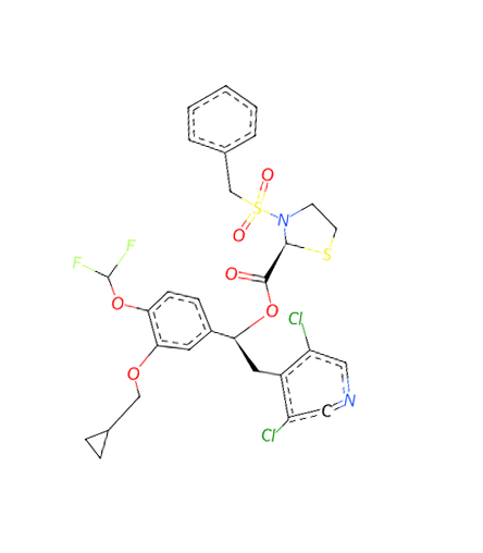 O=C(O[C@@H](Cc1c(Cl)cncc1Cl)c1ccc(OC(F)F)c(OCC2CC2)c1)[C@@H]1SCCN1S(=O)(=O)Cc1ccccc1